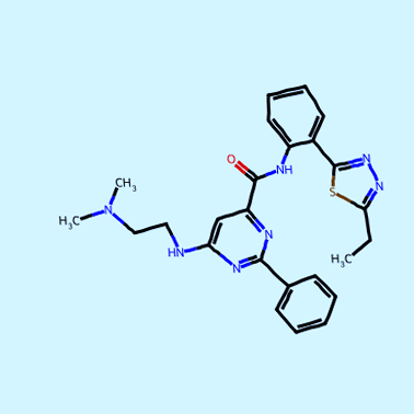 CCc1nnc(-c2ccccc2NC(=O)c2cc(NCCN(C)C)nc(-c3ccccc3)n2)s1